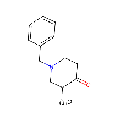 O=CC1CN(Cc2ccccc2)CCC1=O